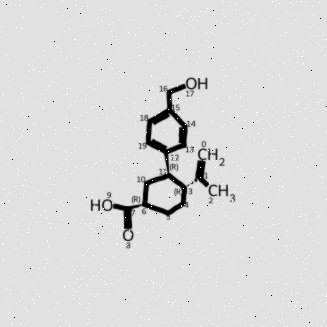 C=C(C)[C@@H]1CC[C@@H](C(=O)O)C[C@H]1c1ccc(CO)cc1